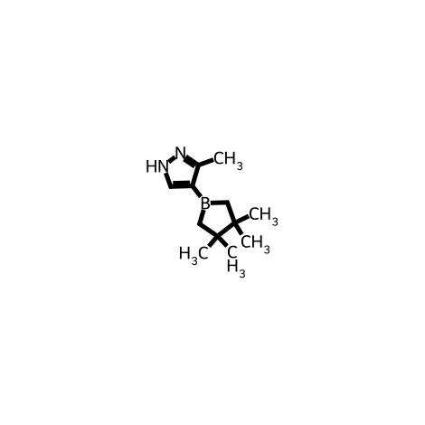 Cc1n[nH]cc1B1CC(C)(C)C(C)(C)C1